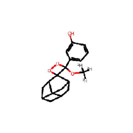 [2H]C([2H])([2H])OC1(c2cccc(O)c2)OOC12C1CC3CC(C1)CC2C3